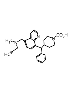 C#CCN(C)Cc1ccc(C(c2ccccc2)C2CCN(C(=O)O)CC2)c2ncccc12